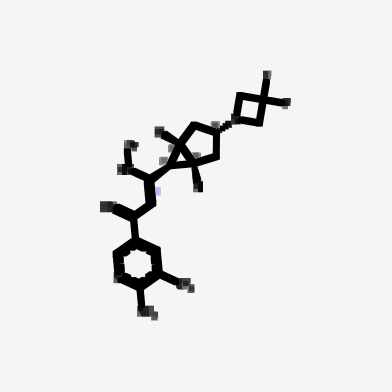 CC(C)N/C(=C\C(=N)c1cnc(N)c(C(F)(F)F)c1)[C@H]1[C@@H]2C[C@H](N3CC(F)(F)C3)C[C@@H]21